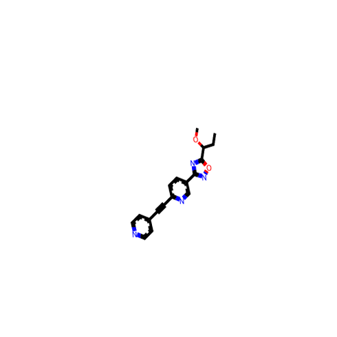 CCC(OC)c1nc(-c2ccc(C#Cc3ccncc3)nc2)no1